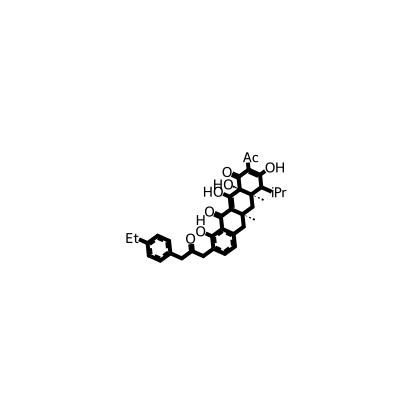 CCc1ccc(CC(=O)Cc2ccc3c(c2O)C(=O)C2=C(O)[C@@]4(O)C(=O)C(C(C)=O)=C(O)C(C(C)C)[C@@]4(C)C[C@@]2(C)C3)cc1